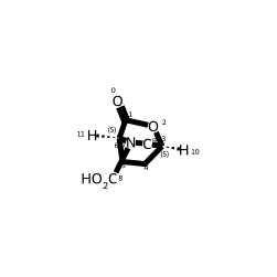 O=C1O[C@H]2CC[C@@H]1N(C(=O)O)C2